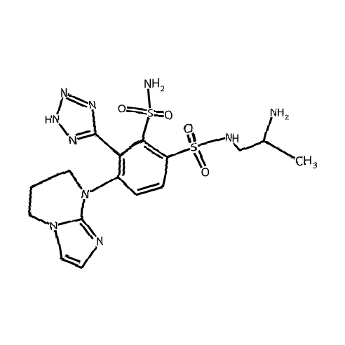 CC(N)CNS(=O)(=O)c1ccc(N2CCCn3ccnc32)c(-c2nn[nH]n2)c1S(N)(=O)=O